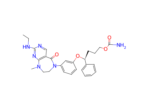 CCNc1ncc2c(n1)N(C)CCN(c1cccc(O[C@@H](CCCOC(N)=O)c3ccccc3)c1)C2=O